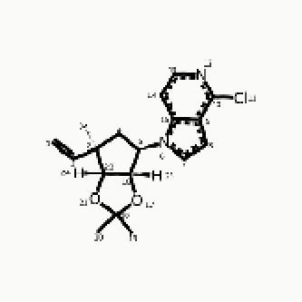 C=C[C@@]1(C)C[C@@H](n2ccc3c(Cl)nccc32)[C@@H]2OC(C)(C)O[C@@H]21